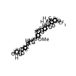 COc1cc2c(Oc3ccc(NC(=O)c4c(C)n(C)c5ccc(OC(F)(F)F)cc5c4=O)cc3F)ncnc2cc1OCC(=O)NC1CN(c2ccc3c(c2)CN(C2CCC(=O)NC2=O)C3=O)C1